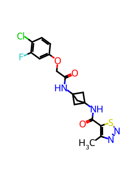 Cc1nnsc1C(=O)NC12CC(NC(=O)COc3ccc(Cl)c(F)c3)(C1)C2